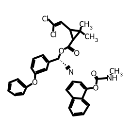 CC1(C)C(C=C(Cl)Cl)C1C(=O)O[C@H](C#N)c1cccc(Oc2ccccc2)c1.CNC(=O)Oc1cccc2ccccc12